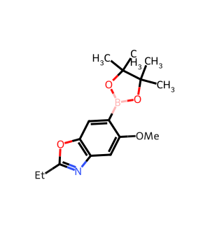 CCc1nc2cc(OC)c(B3OC(C)(C)C(C)(C)O3)cc2o1